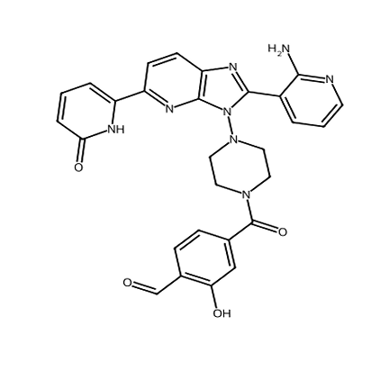 Nc1ncccc1-c1nc2ccc(-c3cccc(=O)[nH]3)nc2n1N1CCN(C(=O)c2ccc(C=O)c(O)c2)CC1